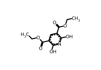 CCOC(=O)c1cc(C(=O)OCC)c(O)nc1O